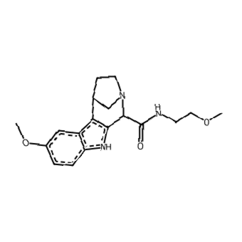 COCCNC(=O)C1c2[nH]c3ccc(OC)cc3c2C2CCN1C2